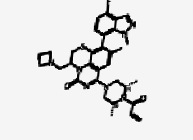 C=CC(=O)N1[C@H](C)CN(c2nc(=O)n3c4c(c(-c5ccc(F)c6cnn(C)c56)c(C)cc24)SCC3CN2CCC2)C[C@@H]1C